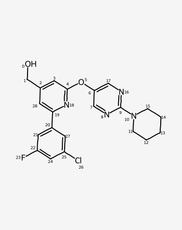 OCc1cc(Oc2cnc(N3CCCCC3)nc2)nc(-c2cc(F)cc(Cl)c2)c1